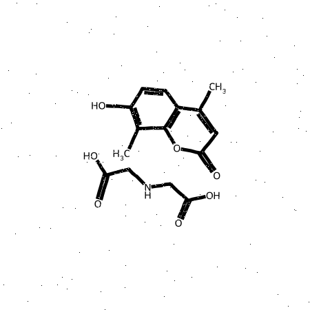 Cc1cc(=O)oc2c(C)c(O)ccc12.O=C(O)CNCC(=O)O